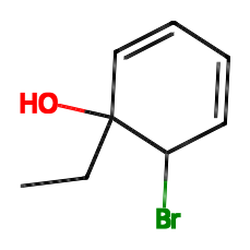 CCC1(O)C=CC=CC1Br